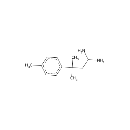 Cc1ccc(C(C)(C)CC(N)N)cc1